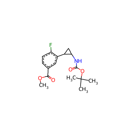 COC(=O)c1ccc(F)c(C2CC2NC(=O)OC(C)(C)C)c1